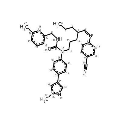 CCCC(/C=N\c1ccc(C#N)cn1)CCCN(C(=O)NCc1cccc(C)n1)c1ccc(-c2cnn(C)c2)cc1